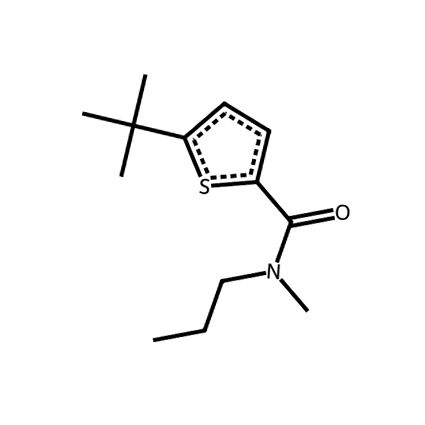 CCCN(C)C(=O)c1ccc(C(C)(C)C)s1